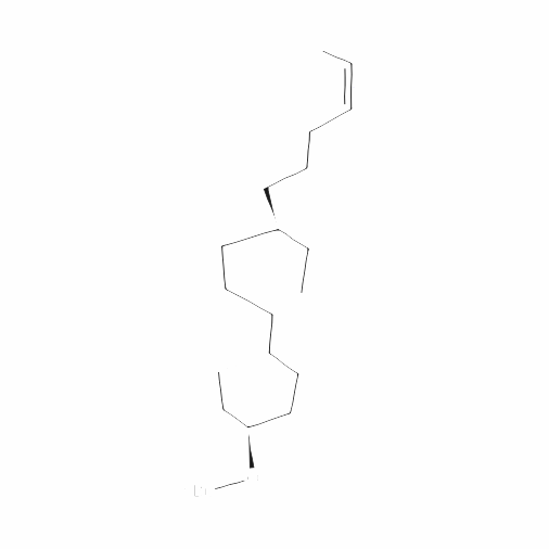 C/C=C\CCC[C@H]1CC[C@H]([C@H]2CC[C@H](OCCCC)CC2)CC1